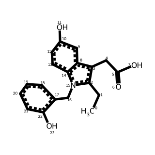 CCc1c(CC(=O)O)c2cc(O)ccc2n1Cc1ccccc1O